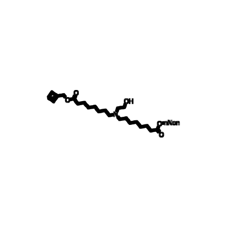 CCCCCCCCCOC(=O)CCCCCCCN(CCO)CCCCCCCC(=O)OCC12CC(C1)C2